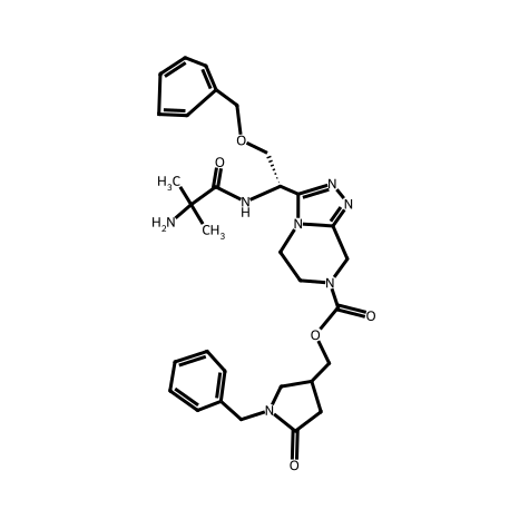 CC(C)(N)C(=O)N[C@H](COCc1ccccc1)c1nnc2n1CCN(C(=O)OCC1CC(=O)N(Cc3ccccc3)C1)C2